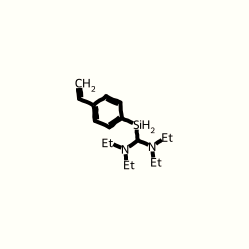 C=Cc1ccc([SiH2]C(N(CC)CC)N(CC)CC)cc1